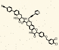 N#Cc1ccc(-c2ccc(CC(NC(=O)C3Cc4cc5c(cc4CN3CC#Cc3ccsc3)OC(c3ccc(OCc4ccc(Cl)c(Cl)c4)cc3)C(=O)N5)C(=O)O)cc2)cc1